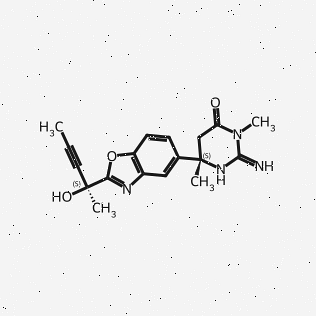 CC#C[C@](C)(O)c1nc2cc([C@]3(C)CC(=O)N(C)C(=N)N3)ccc2o1